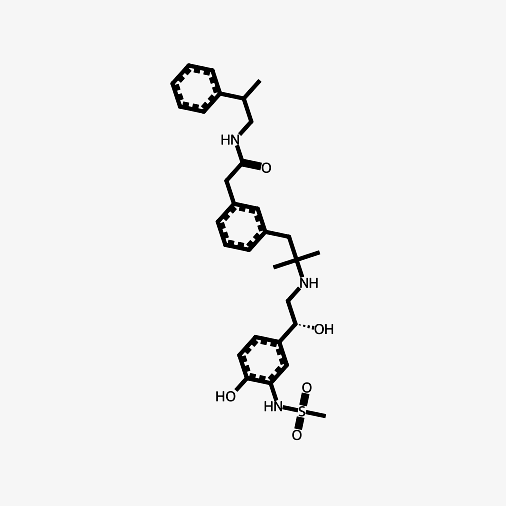 CC(CNC(=O)Cc1cccc(CC(C)(C)NC[C@H](O)c2ccc(O)c(NS(C)(=O)=O)c2)c1)c1ccccc1